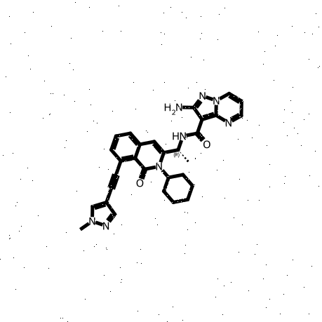 C[C@@H](NC(=O)c1c(N)nn2cccnc12)c1cc2cccc(C#Cc3cnn(C)c3)c2c(=O)n1C1CCCCC1